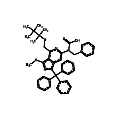 COc1nn(C(c2ccccc2)(c2ccccc2)c2ccccc2)c2cc(N(Cc3ccccc3)C(=O)O)nc(CO[Si](C)(C)C(C)(C)C)c12